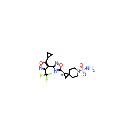 NS(=O)(=O)N1CCC2(CC1)C[C@H]2c1nc(-c2c(C(F)(F)F)noc2C2CC2)no1